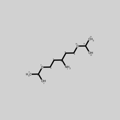 CC(O)OCCC(N)CCOC(C)O